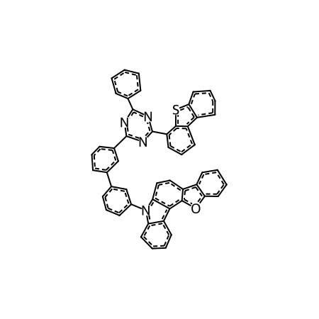 c1ccc(-c2nc(-c3cccc(-c4cccc(-n5c6ccccc6c6c7oc8ccccc8c7ccc65)c4)c3)nc(-c3cccc4c3sc3ccccc34)n2)cc1